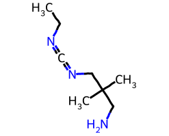 CCN=C=NCC(C)(C)CN